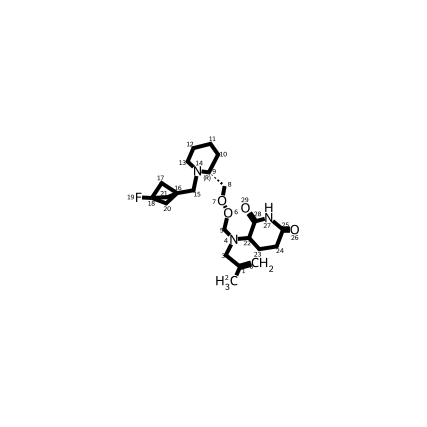 C=C(C)CN(COOC[C@H]1CCCCN1CC12CC(F)(C1)C2)C1CCC(=O)NC1=O